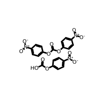 O=C(O)Oc1ccc([N+](=O)[O-])cc1.O=C(Oc1ccc([N+](=O)[O-])cc1)Oc1ccc([N+](=O)[O-])cc1